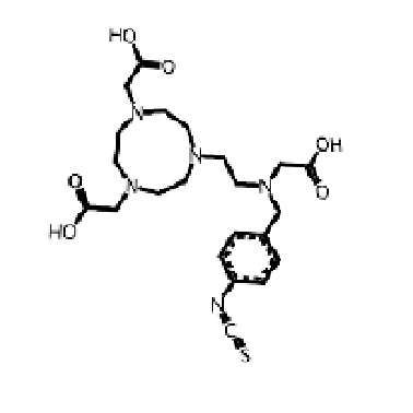 O=C(O)CN1CCN(CCN(CC(=O)O)Cc2ccc(N=C=S)cc2)CCN(CC(=O)O)CC1